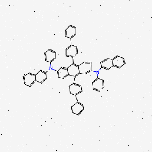 C1=CCCC(C2=CC=C(c3c4cc(N(c5ccccc5)c5ccc6ccccc6c5)ccc4c(-c4ccc(-c5ccccc5)cc4)c4cc(N(c5ccccc5)c5ccc6ccccc6c5)ccc34)CC2)=C1